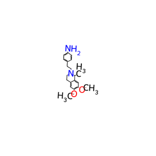 COc1cc2c(cc1OC)C(C)N(CCc1ccc(N)cc1)CC2